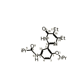 CCCOc1ccc(NC(=O)C(C)C)cc1-c1nc(CC)c(CC)c(=O)[nH]1